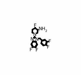 N[C@@H]1CN(c2nc3cc(F)c(F)cc3n2Cc2ccc(F)c(F)c2)CCC1F